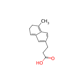 CC1=c2ccc(CCC(=O)O)cc2=CCC1